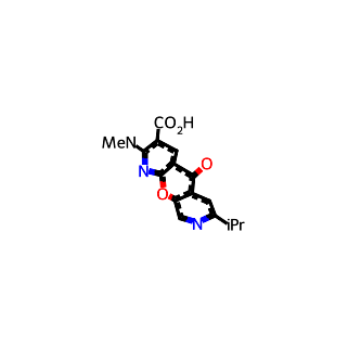 CNc1nc2oc3cnc(C(C)C)cc3c(=O)c2cc1C(=O)O